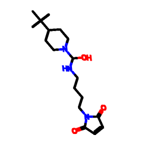 CC(C)(C)C1CCN(C(O)NCCCCN2C(=O)C=CC2=O)CC1